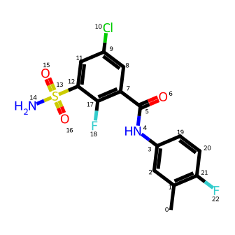 Cc1cc(NC(=O)c2cc(Cl)cc(S(N)(=O)=O)c2F)ccc1F